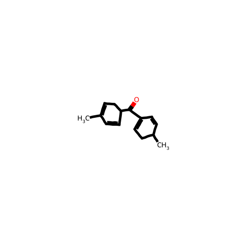 CC1=CCC(C(=O)C2=CCC(C)C=C2)C=C1